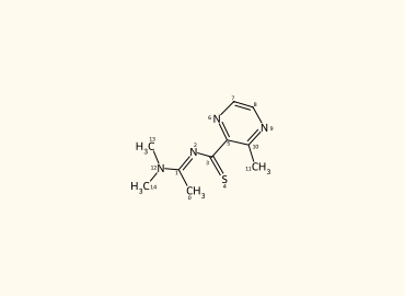 C/C(=N\C(=S)c1nccnc1C)N(C)C